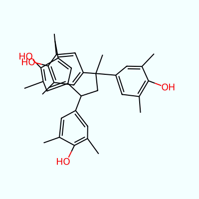 Cc1cc(C(CC(C)(c2cc(C)c(O)c(C)c2)c2cc(C)c(O)c(C)c2)c2cc(C)c(O)c(C)c2)cc(C)c1O